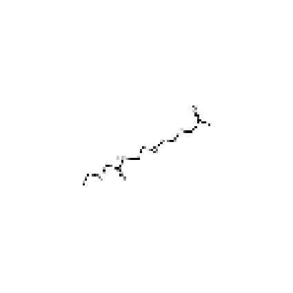 CCOCC(=O)NCCOCCOCC(C)=O